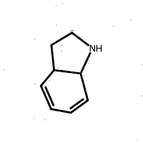 [C]1CC2C=CC=CC2N1